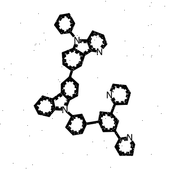 c1ccc(-n2c3ccc(-c4ccc5c(c4)c4ccccc4n5-c4cccc(-c5cc(-c6ccccn6)cc(-c6ccccn6)c5)c4)cc3c3ncccc32)cc1